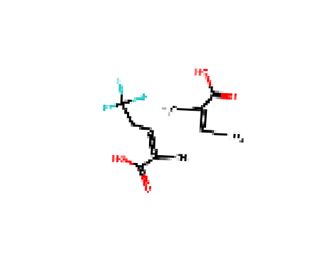 CC(=CCC(F)(F)F)C(=O)O.CC=C(C)C(=O)O